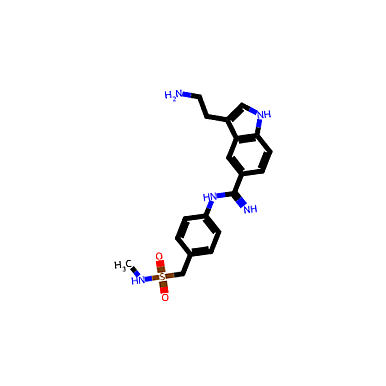 CNS(=O)(=O)Cc1ccc(NC(=N)c2ccc3[nH]cc(CCN)c3c2)cc1